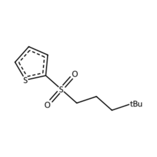 CC(C)(C)CCCS(=O)(=O)c1cccs1